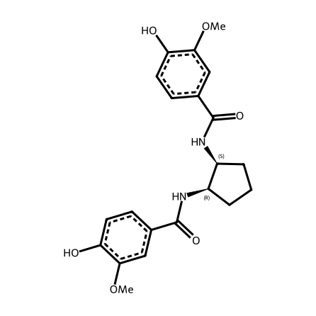 COc1cc(C(=O)N[C@H]2CCC[C@H]2NC(=O)c2ccc(O)c(OC)c2)ccc1O